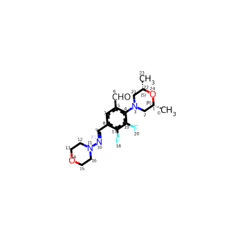 C[C@@H]1CN(c2c(C=O)cc(/C=N/N3CCOCC3)c(F)c2F)C[C@H](C)O1